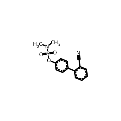 CN(C)S(=O)(=O)Oc1ccc(-c2ccccc2C#N)cc1